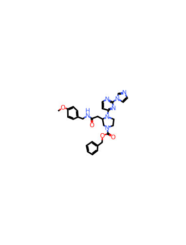 COc1ccc(CNC(=O)CC2CN(C(=O)OCc3ccccc3)CCN2c2ccnc(-n3ccnc3)n2)cc1